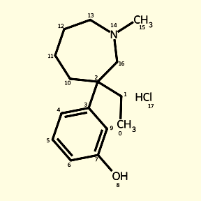 CCC1(c2cccc(O)c2)CCCCN(C)C1.Cl